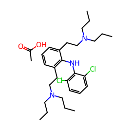 CC(=O)O.CCCN(CCC)CCc1cccc(CCN(CCC)CCC)c1Nc1c(Cl)cccc1Cl